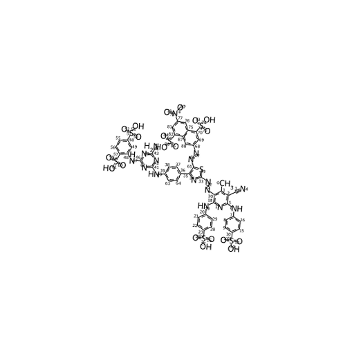 Cc1c(C#N)c(Nc2ccc(S(=O)(=O)O)cc2)nc(Nc2ccc(S(=O)(=O)O)cc2)c1N=Nc1nc(-c2ccc(Nc3nc(N)nc(Nc4cc(S(=O)(=O)O)ccc4S(=O)(=O)O)n3)cc2)c(/N=N/c2cc(S(=O)(=O)O)c3cc([N+](=O)[O-])cc(S(=O)(=O)O)c3c2)s1